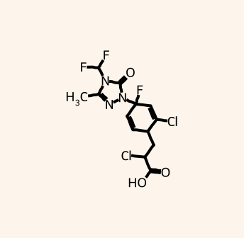 Cc1nn(C2(F)C=CC(CC(Cl)C(=O)O)C(Cl)=C2)c(=O)n1C(F)F